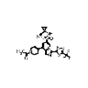 CC(=O)N1CC=C(c2cc(S(=O)(=O)NC3(C#N)CC3)cn3c(-c4nnc(C(F)(F)F)s4)ncc23)CC1